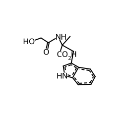 CC(Cc1c[nH]c2ccccc12)(NC(=O)CO)C(=O)O